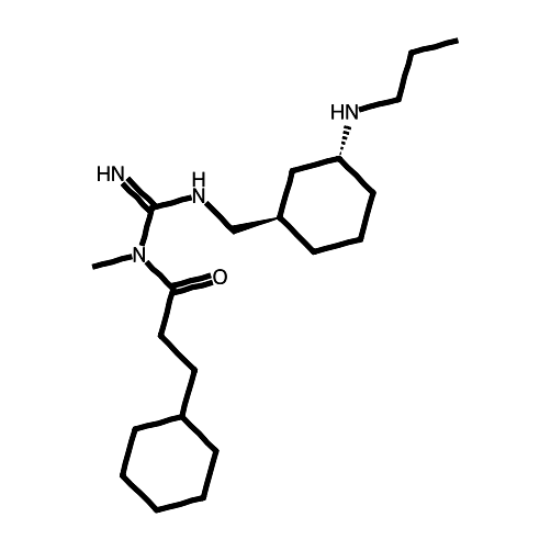 CCCN[C@@H]1CCC[C@@H](CNC(=N)N(C)C(=O)CCC2CCCCC2)C1